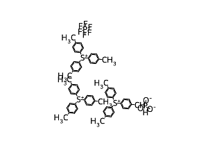 Cc1ccc([S+](c2ccc(C)cc2)c2ccc(C)cc2)cc1.Cc1ccc([S+](c2ccc(C)cc2)c2ccc(C)cc2)cc1.Cc1ccc([S+](c2ccc(C)cc2)c2ccc(C)cc2)cc1.F[P-](F)(F)(F)(F)F.O=[PH]([O-])[O-]